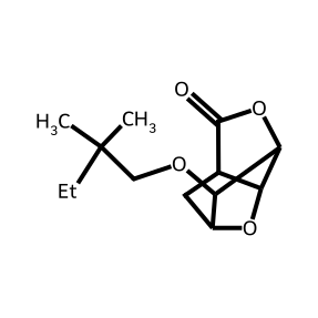 CCC(C)(C)COC1C2CC3C(=O)OC1C3O2